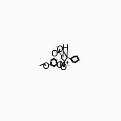 CCOc1ccc([C@@H]2[C@@H](C(=O)OC)N[C@@H](c3ccccc3)[C@@]2(C)[N+](=O)[O-])cc1